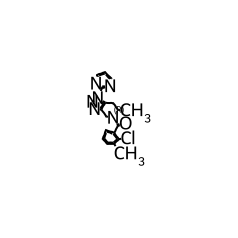 Cc1cccc(C(=O)N2Cc3nnn(-c4ncccn4)c3C[C@H]2C)c1Cl